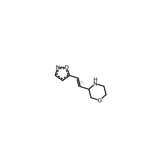 C(=C\C1COCCN1)/c1ccno1